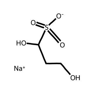 O=S(=O)([O-])C(O)CCO.[Na+]